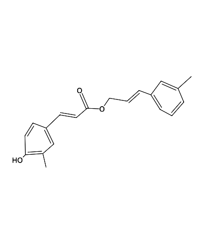 Cc1cccc(/C=C/COC(=O)/C=C/c2ccc(O)c(C)c2)c1